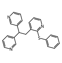 c1ccc(Sc2ncccc2CC(c2cccnc2)c2cccnc2)cc1